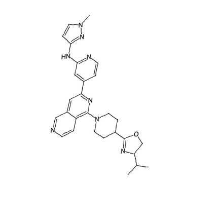 CC(C)C1COC(C2CCN(c3nc(-c4ccnc(Nc5ccn(C)n5)c4)cc4cnccc34)CC2)=N1